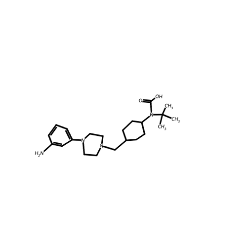 CC(C)(C)N(C(=O)O)C1CCC(CN2CCN(c3cccc(N)c3)CC2)CC1